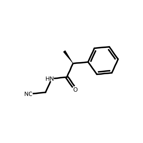 C[C@H](C(=O)NCC#N)c1ccccc1